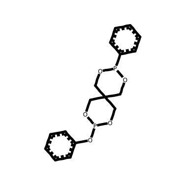 c1ccc(OP2OCC3(CO2)COP(c2ccccc2)OC3)cc1